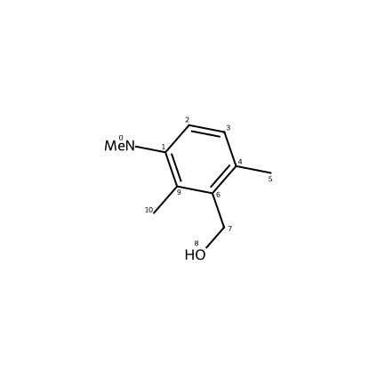 CNc1ccc(C)c(CO)c1C